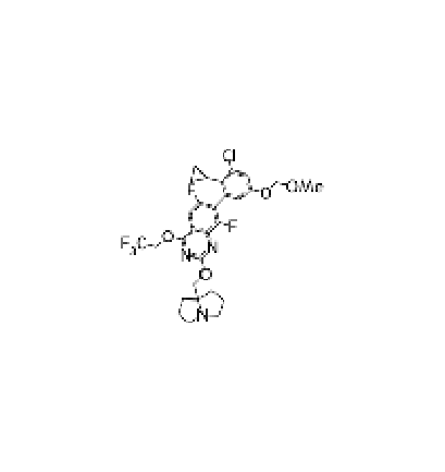 COCOc1cc(Cl)c(C2CC2)c(-c2c(F)cc3c(OCC(F)(F)F)nc(OCC45CCCN4CCC5)nc3c2F)c1